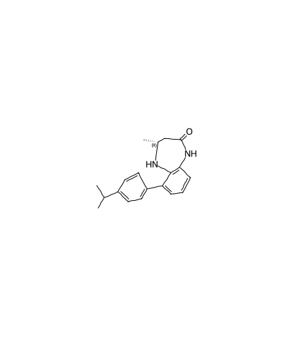 CC(C)c1ccc(-c2cccc3c2N[C@H](C)CC(=O)N3)cc1